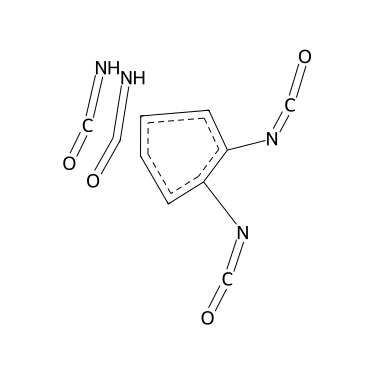 N=C=O.N=C=O.O=C=Nc1ccccc1N=C=O